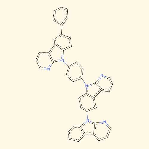 c1ccc(-c2ccc3c(c2)c2cccnc2n3-c2ccc(-n3c4ccc(-n5c6ccccc6c6cccnc65)cc4c4cccnc43)cc2)cc1